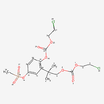 CC(C)(COC(=O)OCCCl)c1cc(OS(C)(=O)=O)ccc1OC(=O)OCCCl